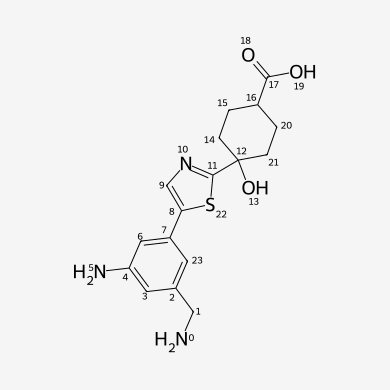 NCc1cc(N)cc(-c2cnc(C3(O)CCC(C(=O)O)CC3)s2)c1